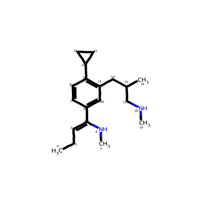 CC/C=C(\NC)c1ccc(C2CC2)c(CC(C)CNC)c1